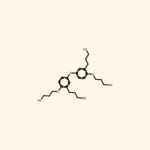 SCCCOc1ccc(Sc2ccc(OCCCS)c(CCCS)c2)cc1CCCS